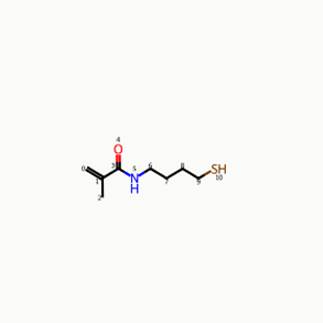 C=C(C)C(=O)NCCCCS